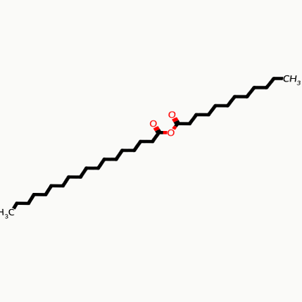 CCCCCCCCCCCCCCCCCC(=O)OC(=O)CCCCCCCCCCC